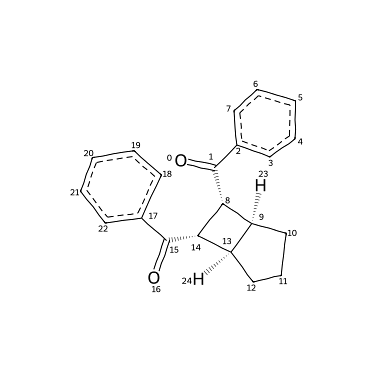 O=C(c1ccccc1)[C@@H]1[C@H]2CCC[C@H]2[C@@H]1C(=O)c1ccccc1